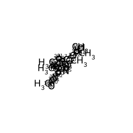 CCOC(=O)c1c(CCCOc2cc(C)c(Cl)c(C)c2)c2cccc(-c3c(COc4ccc(N5CCN(C(C)=O)CC5)cc4)nn(C)c3C)c2n1Cc1cccnc1